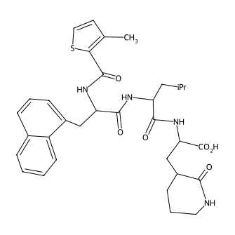 Cc1ccsc1C(=O)NC(Cc1cccc2ccccc12)C(=O)NC(CC(C)C)C(=O)NC(CC1CCCNC1=O)C(=O)O